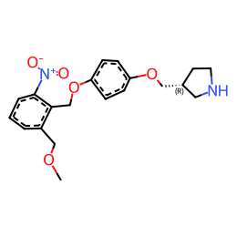 COCc1cccc([N+](=O)[O-])c1COc1ccc(OC[C@@H]2CCNC2)cc1